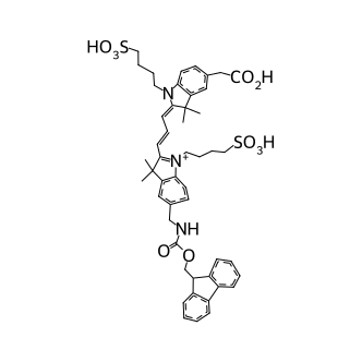 CC1(C)C(C=C/C=C2/N(CCCCS(=O)(=O)O)c3ccc(CC(=O)O)cc3C2(C)C)=[N+](CCCCS(=O)(=O)O)c2ccc(CNC(=O)OCC3c4ccccc4-c4ccccc43)cc21